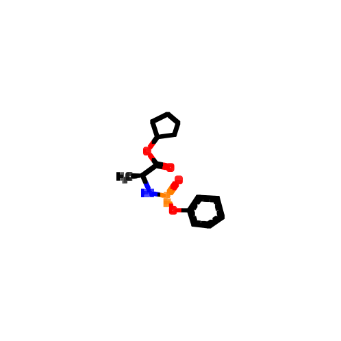 C[C@H](N[PH](=O)Oc1ccccc1)C(=O)OC1CCCC1